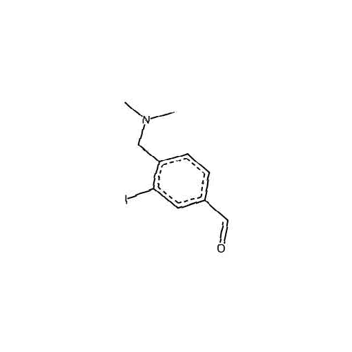 CN(C)Cc1ccc(C=O)cc1I